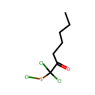 CCCCCC(=O)C(Cl)(Cl)SCl